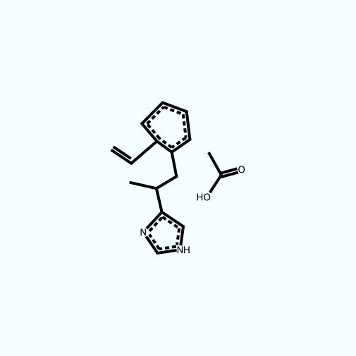 C=Cc1ccccc1CC(C)c1c[nH]cn1.CC(=O)O